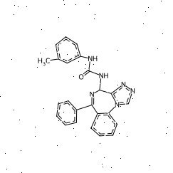 Cc1cccc(NC(=O)NC2N=C(c3ccccc3)c3ccccc3-n3cnnc32)c1